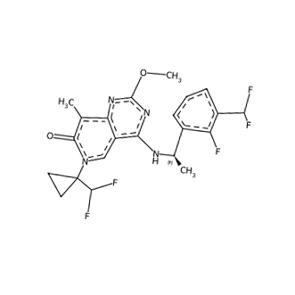 COc1nc(N[C@H](C)c2cccc(C(F)F)c2F)c2cn(C3(C(F)F)CC3)c(=O)c(C)c2n1